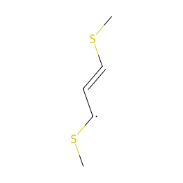 CS[CH]C=CSC